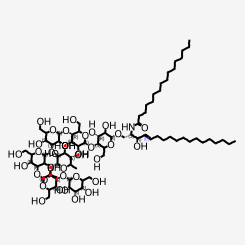 CCCCCCCCCCCCC/C=C/[C@@H](O)[C@H](CO[C@@H]1OC(CO)[C@@H](O[C@@H]2OC(CO)[C@H](O[C@@H]3OC(CO)[C@H](O)[C@H](O[C@@H]4OC(CO)[C@H](O)[C@H](O[C@@H]5OC(CO)[C@H](O)[C@H](O[C@H]6OC(CO)[C@H](O)[C@H](O)C6O)C5O[C@H]5OC(C)[C@@H](O)C(O)[C@@H]5O)C4NC(C)=O)C3O)[C@H](O)C2O)[C@H](O)C1O)NC(=O)CCCCCCCCCCCCCCC